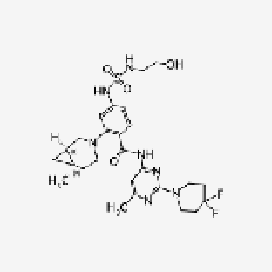 Cc1cc(NC(=O)c2ccc(NS(=O)(=O)NCCO)cc2N2CC[C@@]3(C)C[C@H]3C2)nc(N2CCC(F)(F)CC2)n1